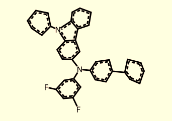 Fc1cc(F)cc(N(c2ccc(-c3ccccc3)cc2)c2ccc3c(c2)c2ccccc2n3-c2ccccc2)c1